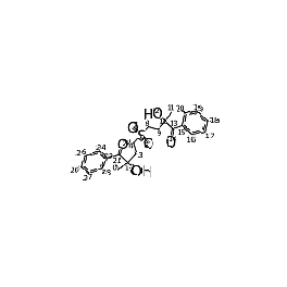 CC(O)(CCS(=O)(=O)CCC(C)(O)C(=O)c1ccccc1)C(=O)c1ccccc1